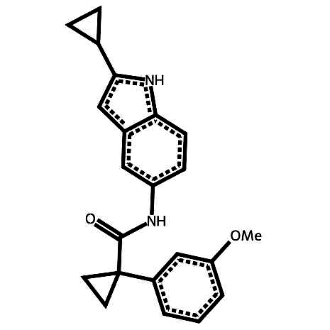 COc1cccc(C2(C(=O)Nc3ccc4[nH]c(C5CC5)cc4c3)CC2)c1